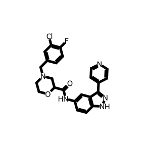 O=C(Nc1ccc2[nH]nc(-c3ccncc3)c2c1)C1CN(Cc2ccc(F)c(Cl)c2)CCO1